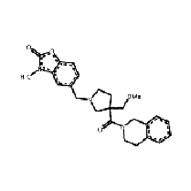 COCC1(C(=O)N2CCc3ccccc3C2)CCN(Cc2ccc3oc(=O)n(C)c3c2)C1